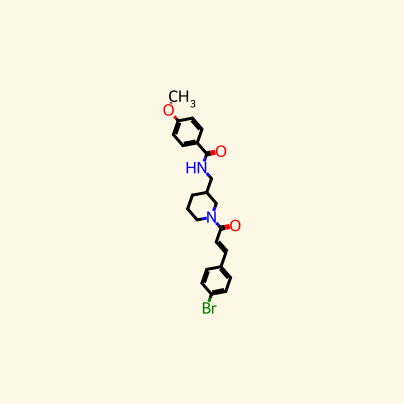 COc1ccc(C(=O)NCC2CCCN(C(=O)/C=C/c3ccc(Br)cc3)C2)cc1